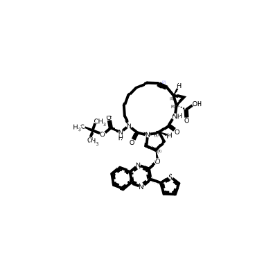 CC(C)(C)OC(=O)NN1CCCCC/C=C\[C@@H]2C[C@@]2(C(=O)O)NC(=O)[C@@H]2C[C@@H](Oc3nc4ccccc4nc3-c3cccs3)CN2C1=O